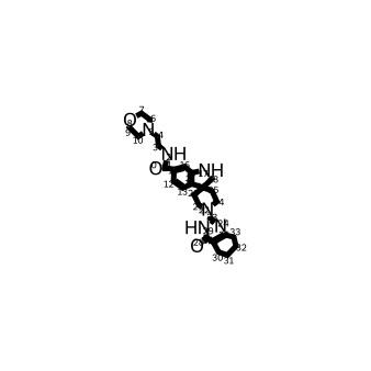 O=C(NCCN1CCOCC1)c1ccc2c(c1)NCC21CCN(c2nc3c(c(=O)[nH]2)CCCC3)CC1